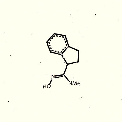 CNC(=NO)C1CCc2ccccc21